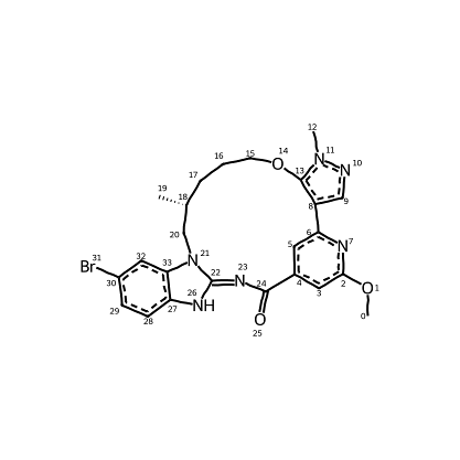 COc1cc2cc(n1)-c1cnn(C)c1OCCC[C@@H](C)CN1/C(=N/C2=O)Nc2ccc(Br)cc21